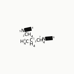 C.C.C.C.C#N.C#N